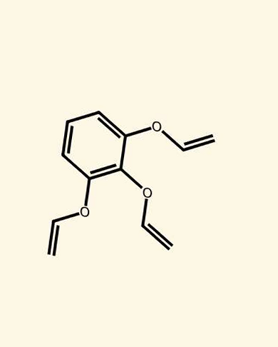 C=COc1cccc(OC=C)c1OC=C